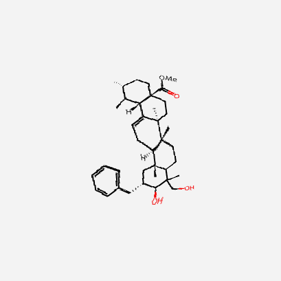 COC(=O)[C@]12CC[C@@H](C)[C@H](C)[C@H]1C1=CC[C@@H]3[C@@]4(C)C[C@@H](Cc5ccccc5)[C@H](O)C(C)(CO)C4CC[C@@]3(C)[C@]1(C)CC2